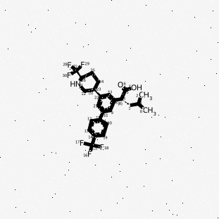 CC(C)C[C@@H](C(=O)O)c1cc(-c2ccc(C(F)(F)F)cc2)cc([C@@H]2CC[C@H](C(F)(F)F)NC2)c1